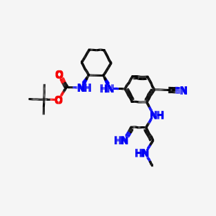 CN/C=C(\C=N)Nc1cc(N[C@@H]2CCCC[C@@H]2NC(=O)OC(C)(C)C)ccc1C#N